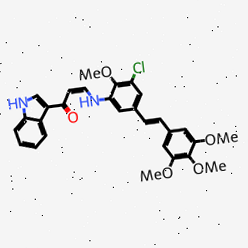 COc1cc(/C=C/c2cc(Cl)c(OC)c(N/C=C\C(=O)c3c[nH]c4ccccc34)c2)cc(OC)c1OC